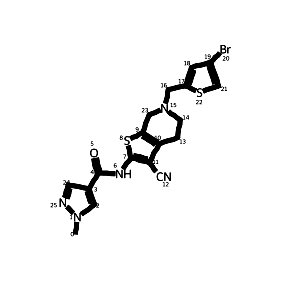 Cn1cc(C(=O)Nc2sc3c(c2C#N)CCN(Cc2cc(Br)cs2)C3)cn1